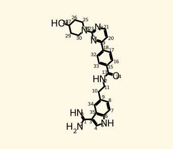 N=C(N)c1c[nH]c2ccc(CCNC(=O)c3ccc(-c4ccnc(N5CCC(O)CC5)n4)cc3)cc12